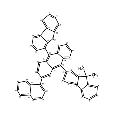 CC1(C)c2ccccc2-c2ccc(-c3c4ccccc4c(-c4cccc5c4sc4ccccc45)c4ccc(-c5cccc6ccccc56)cc34)cc21